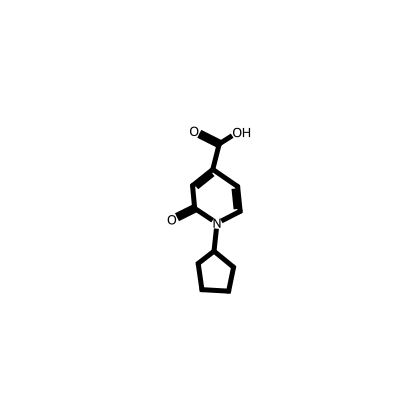 O=C(O)c1ccn(C2CCCC2)c(=O)c1